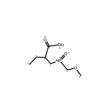 CCC(C[PH](=O)COC)C(=O)O